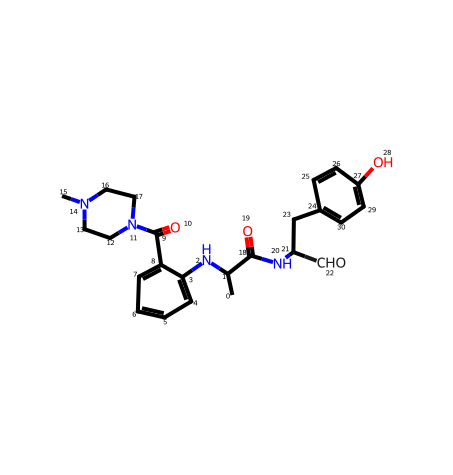 CC(Nc1ccccc1C(=O)N1CCN(C)CC1)C(=O)NC(C=O)Cc1ccc(O)cc1